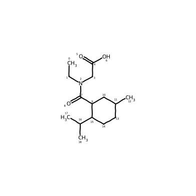 CCN(CC(=O)O)C(=O)C1CC(C)CCC1C(C)C